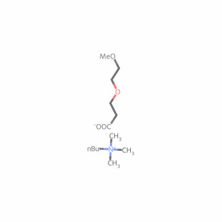 CCCC[N+](C)(C)C.COCCOCCC(=O)[O-]